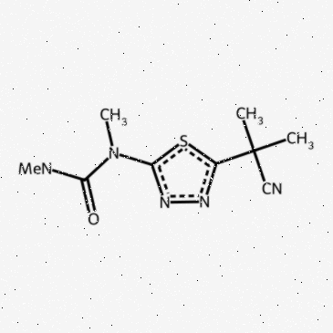 CNC(=O)N(C)c1nnc(C(C)(C)C#N)s1